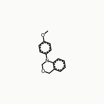 COc1ccc(N2COCc3ccccc32)cc1